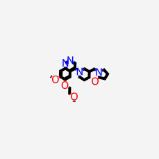 COCCOc1cc2c(N3CCCC(CN4CCCC4=O)C3)cnnc2cc1OC